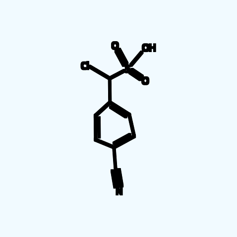 N#Cc1ccc(C(Cl)S(=O)(=O)O)cc1